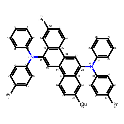 CC(C)c1ccc(N(c2ccccc2)c2cc3c4ccc(C(C)(C)C)cc4c(N(c4ccccc4)c4ccc(C(C)C)cc4)cc3c3ccc(C(C)C)cc23)cc1